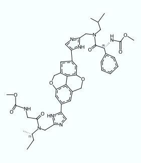 CC[C@H](C)N(Cc1ncc(-c2cc3c4c(c2)OCc2cc(-c5cnc(CN(CC(C)C)C(=O)[C@H](NC(=O)OC)c6ccccc6)[nH]5)cc(c2-4)OC3)[nH]1)C(=O)CNC(=O)OC